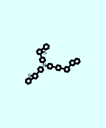 c1cc(-c2ccc(-c3ccc(N(c4ccc(-c5ccc6c(c5)sc5ccccc56)cc4)c4ccc(-c5cccc6c5sc5ccccc56)cc4)cc3)cc2)cc(-c2ccc3ccccc3c2)c1